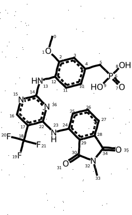 COc1cc(CP(=O)(O)O)ccc1Nc1ncc(C(F)(F)F)c(Nc2cccc3c2C(=O)N(C)C3=O)n1